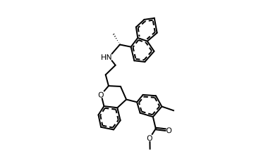 COC(=O)c1cc(C2CC(CCN[C@H](C)c3cccc4ccccc34)Oc3ccccc32)ccc1C